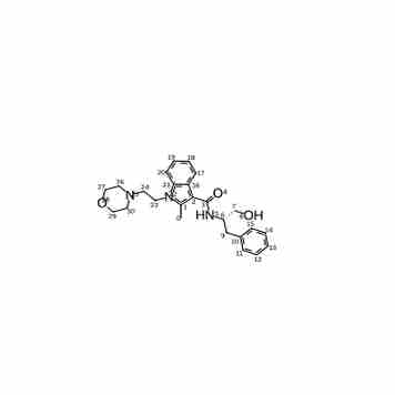 Cc1c(C(=O)N[C@H](CO)Cc2ccccc2)c2ccccc2n1CCN1CCOCC1